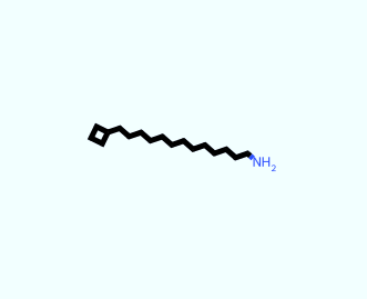 NCCCCCCCCCCCCCC1CCC1